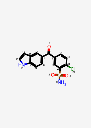 NS(=O)(=O)c1cc(C(=O)c2ccc3[nH]ccc3c2)ccc1Cl